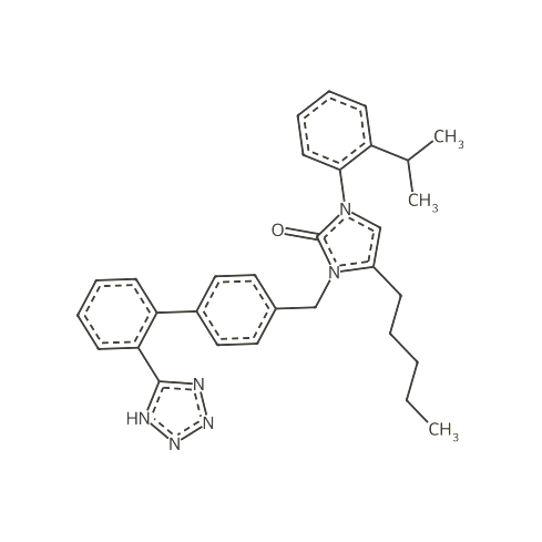 CCCCCc1cn(-c2ccccc2C(C)C)c(=O)n1Cc1ccc(-c2ccccc2-c2nnn[nH]2)cc1